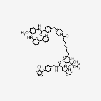 Cc1ccc(NC(=O)c2ccc(CN3CCN(C(=O)CCCCCCC(=O)NC(C(=O)N4CC(O)CC4C(=O)NCc4ccc(-c5scnc5C)cc4)C(C)(C)C)CC3)cc2)cc1Nc1nccc(-c2cccnc2)n1